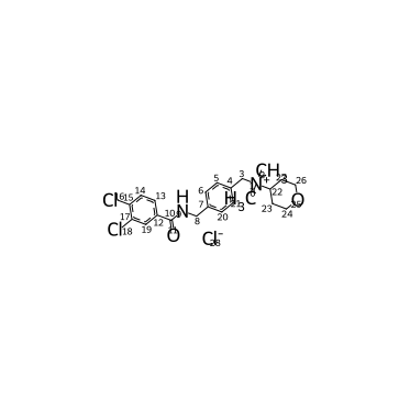 C[N+](C)(Cc1ccc(CNC(=O)c2ccc(Cl)c(Cl)c2)cc1)C1CCOCC1.[Cl-]